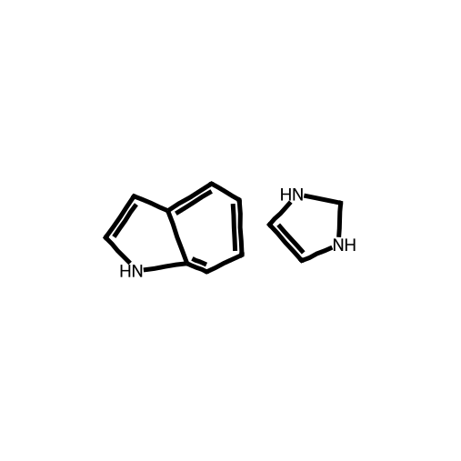 C1=CNCN1.c1ccc2[nH]ccc2c1